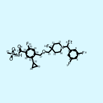 CCC(c1cc(F)cc(F)c1)N1CCC(F)(COCc2cc(F)c(C(=O)NS(C)(=O)=O)cc2C2CC2)CC1